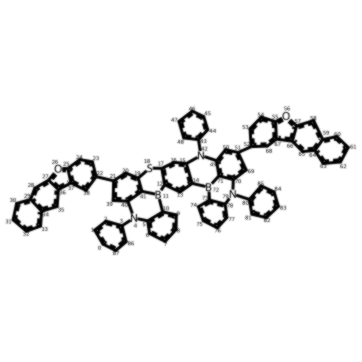 c1ccc(N2c3ccccc3B3c4cc5c(cc4Sc4cc(-c6ccc7oc8cc9ccccc9cc8c7c6)cc2c43)N(c2ccccc2)c2cc(-c3ccc4oc6cc7ccccc7cc6c4c3)cc3c2B5c2ccccc2N3c2ccccc2)cc1